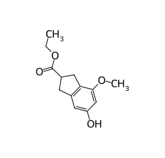 CCOC(=O)C1Cc2cc(O)cc(OC)c2C1